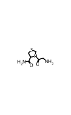 NCC(=O)N1CSCC1C(N)=O